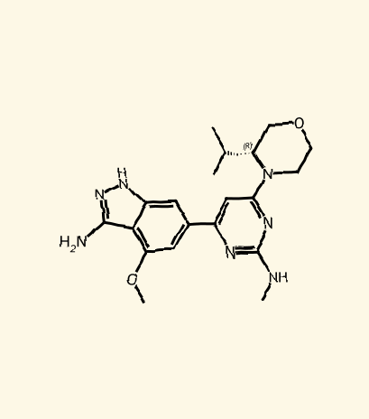 CNc1nc(-c2cc(OC)c3c(N)n[nH]c3c2)cc(N2CCOC[C@H]2C(C)C)n1